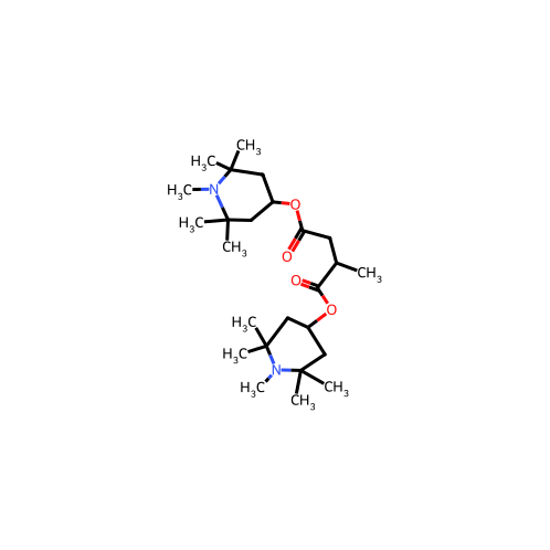 CC(CC(=O)OC1CC(C)(C)N(C)C(C)(C)C1)C(=O)OC1CC(C)(C)N(C)C(C)(C)C1